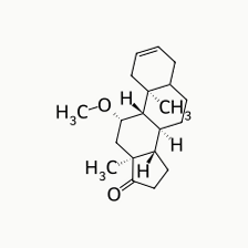 CO[C@H]1C[C@]2(C)C(=O)CC[C@H]2[C@@H]2CCC3CC=CC[C@]3(C)[C@H]21